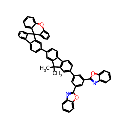 CC1(C)c2cc(-c3cc(-c4nc5ccccc5o4)cc(-c4nc5ccccc5o4)c3)ccc2-c2ccc(-c3ccc4c(c3)C3(c5ccccc5Oc5ccccc53)c3ccccc3-4)cc21